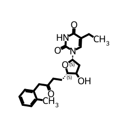 CCc1cn([C@@H]2CC(O)[C@H](CCC(=O)Cc3ccccc3C)O2)c(=O)[nH]c1=O